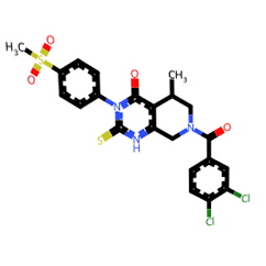 CC1CN(C(=O)c2ccc(Cl)c(Cl)c2)Cc2[nH]c(=S)n(-c3ccc(S(C)(=O)=O)cc3)c(=O)c21